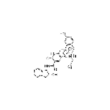 O=C(N[C@H]1c2ccccc2C[C@H]1O)c1cc2c([nH]c1=O)C[C@]13CCN(CC4CC4)[C@H](Cc4ccc(O)cc41)[C@]3(O)C2